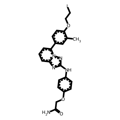 Cc1cc(-c2cccc3nc(Nc4ccc(OCC(N)=O)cc4)nn23)ccc1OCCI